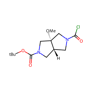 CO[C@]12CN(C(=O)Cl)C[C@@H]1CN(C(=O)OC(C)(C)C)C2